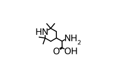 CC1(C)CC(C(N)C(=O)O)CC(C)(C)N1